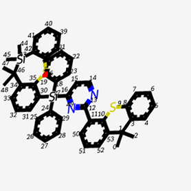 CC1(C)c2ccccc2Sc2c(-c3nccc([Si](c4ccccc4)(c4ccccc4)c4cccc5c4Sc4ccccc4[Si](C)(C)C5(C)C)n3)cccc21